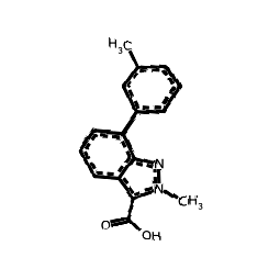 Cc1cccc(-c2cccc3c(C(=O)O)n(C)nc23)c1